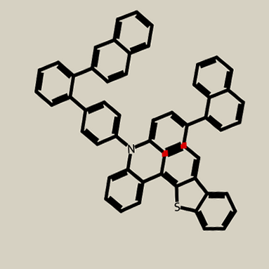 c1ccc(-c2ccc3ccccc3c2)c(-c2ccc(N(c3ccc(-c4cccc5ccccc45)cc3)c3ccccc3-c3cccc4c3sc3ccccc34)cc2)c1